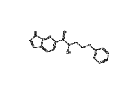 O=C(c1ccc2cc[nH]c2n1)N(O)CCOc1ccccc1